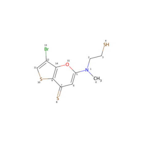 CN(CCS)c1cc(=S)c2scc(Br)c2o1